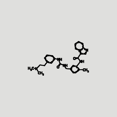 Cc1ccc(CNC(=O)Nc2cccc(CCN(C)C)c2)cc1NC(=O)c1cnc2ccccn12